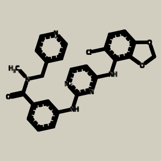 CN(Cc1ccncc1)C(=O)c1cccc(Nc2nccc(Nc3c(Cl)ccc4c3OCO4)n2)c1